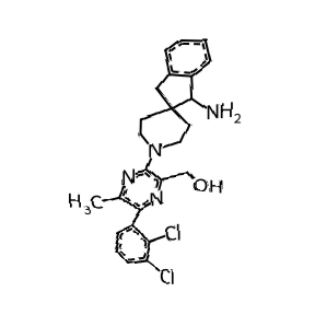 Cc1nc(N2CCC3(CC2)Cc2ccccc2C3N)c(CO)nc1-c1cccc(Cl)c1Cl